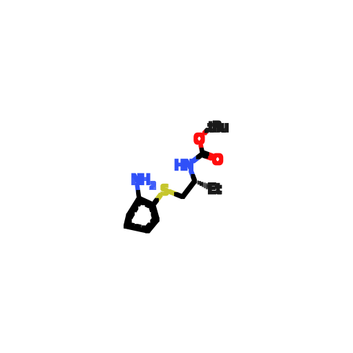 CC[C@H](CSc1ccccc1N)NC(=O)OC(C)(C)C